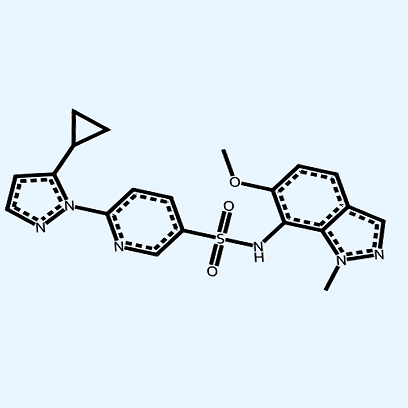 COc1ccc2cnn(C)c2c1NS(=O)(=O)c1ccc(-n2nccc2C2CC2)nc1